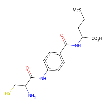 CSCCC(NC(=O)c1ccc(NC(=O)C(N)CS)cc1)C(=O)O